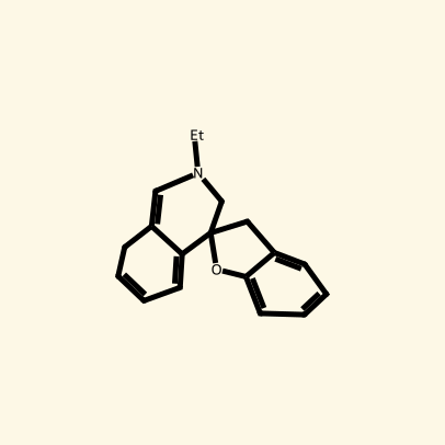 CCN1C=C2CC=CC=C2C2(Cc3ccccc3O2)C1